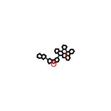 c1ccc(-c2cc3ccccc3c3ccccc23)c(-c2c3ccccc3c(-c3ccc4oc5ccc(-c6ccc7ccccc7c6)cc5c4c3)c3ccccc23)c1